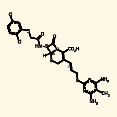 Cc1c(N)nc(SC/C=C/C2=C(C(=O)O)N3C(=O)[C@@H](NC(=O)CSc4cc(Cl)ccc4Cl)[C@H]3SC2)nc1N